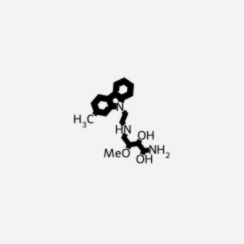 COC(CNCCn1c2ccccc2c2ccc(C)cc21)C(O)C(N)O